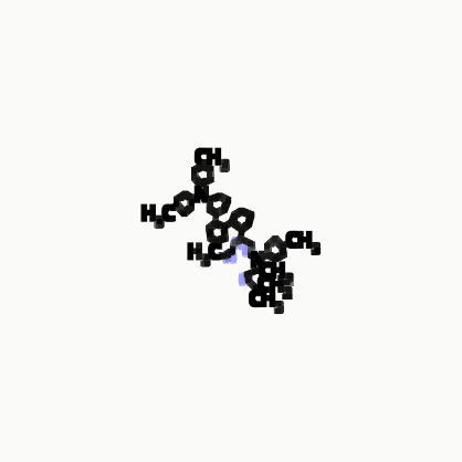 C=C(C)/C=C\C(=C)N(/C=C/C(=C\C=C/C)c1ccccc1-c1ccccc1-c1cccc(N(c2ccc(C)cc2)c2ccc(C)cc2)c1)c1ccc(C)cc1